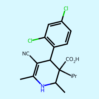 CC1=C(C#N)C(c2ccc(Cl)cc2Cl)C(C(=O)O)(C(C)C)C(C)N1